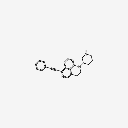 C(#Cc1ncc2c3c(cccc13)N(C1CCCNC1)CC2)c1ccccc1